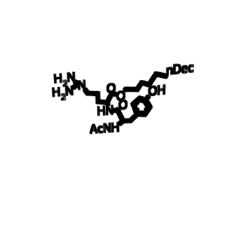 CCCCCCCCCCCCCCCCOC(=O)C(CCCN=C(N)N)NC(=O)C(Cc1ccc(O)cc1)NC(C)=O